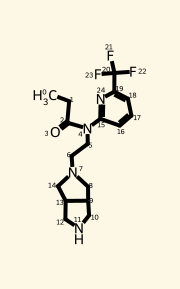 CCC(=O)N(CCN1CC2CNCC2C1)c1cccc(C(F)(F)F)n1